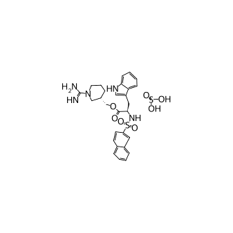 N=C(N)N1CCC[C@H](COC(=O)[C@@H](Cc2c[nH]c3ccccc23)NS(=O)(=O)c2ccc3ccccc3c2)C1.O=S(O)O